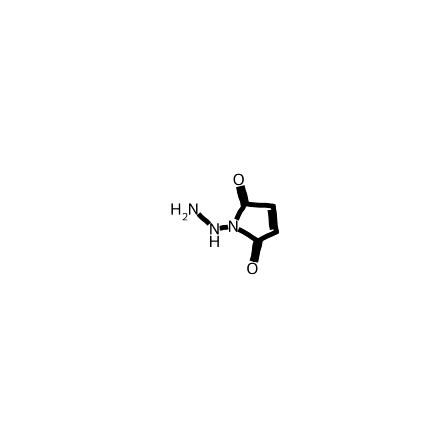 NNN1C(=O)C=CC1=O